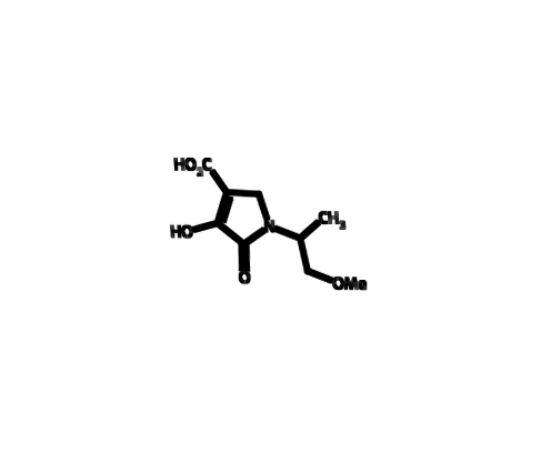 COCC(C)N1CC(C(=O)O)=C(O)C1=O